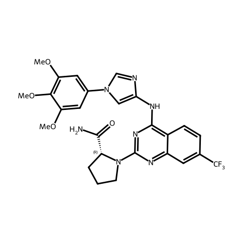 COc1cc(-n2cnc(Nc3nc(N4CCC[C@@H]4C(N)=O)nc4cc(C(F)(F)F)ccc34)c2)cc(OC)c1OC